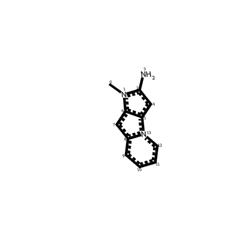 Cn1c(N)cc2c1cc1ccccn12